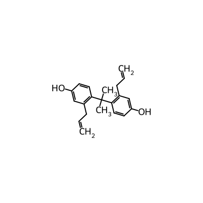 C=CCc1cc(O)ccc1C(C)(C)c1ccc(O)cc1CC=C